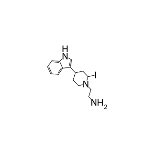 NCCN1CCC(c2c[nH]c3ccccc23)CC1I